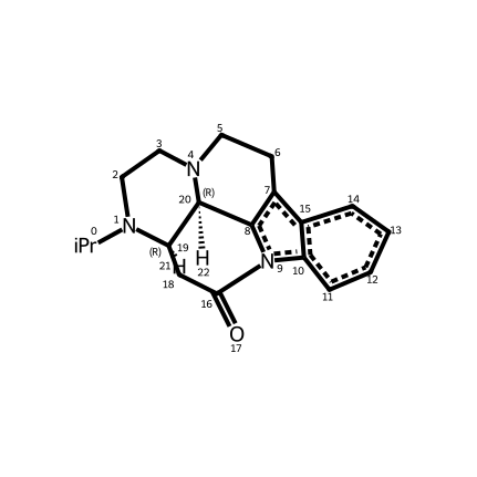 CC(C)N1CCN2CCc3c4n(c5ccccc35)C(=O)C[C@@H]1[C@H]42